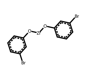 Brc1cccc([O][Zr][O]c2cccc(Br)c2)c1